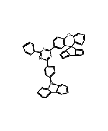 c1ccc(-c2nc(-c3ccc(-n4c5ccccc5c5ccccc54)cc3)nc(-c3ccc4c(c3)C3(c5ccccc5O4)c4ccccc4-c4ccccc43)n2)cc1